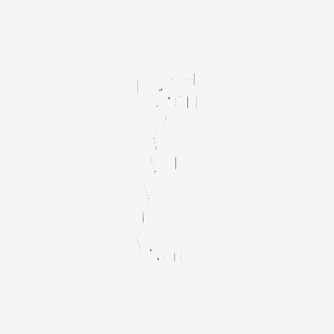 CCCCCCCCCCCCCCCCCCCC[N+](C)(C)C.[I-]